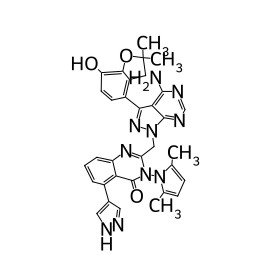 Cc1ccc(C)n1-n1c(Cn2nc(-c3ccc(O)c4c3CC(C)(C)O4)c3c(N)ncnc32)nc2cccc(-c3cn[nH]c3)c2c1=O